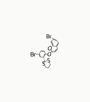 O=C(/C=C\c1ccc(Br)cc1)Oc1ccc(Br)cc1C1SCCCS1